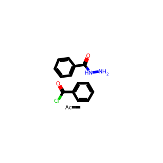 CC(C)=O.NNC(=O)c1ccccc1.O=C(Cl)c1ccccc1